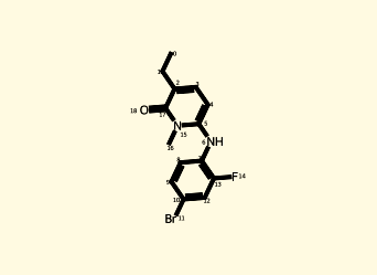 CCc1ccc(Nc2ccc(Br)cc2F)n(C)c1=O